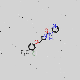 O=C(Nc1cccnc1)N1CC(COc2ccc(C(F)(F)F)c(Cl)c2)C1